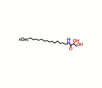 CCCCCCCCCCCCCCCCCCCCCCCCNC(=O)C(O)CO